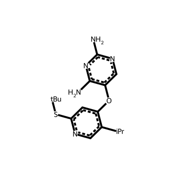 CC(C)c1cnc(SC(C)(C)C)cc1Oc1cnc(N)nc1N